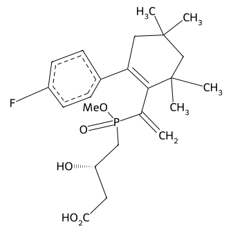 C=C(C1=C(c2ccc(F)cc2)CC(C)(C)CC1(C)C)P(=O)(C[C@@H](O)CC(=O)O)OC